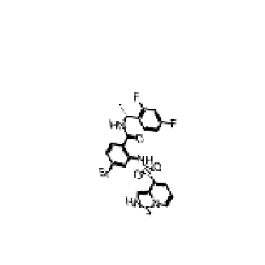 C[C@@H](NC(=O)c1ccc(Br)cc1NS(=O)(=O)C1=CC=CN2SNC=C12)c1ccc(F)cc1F